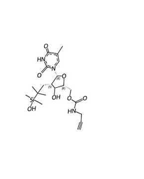 C#CCNC(=O)OC[C@H]1O[C@@H](n2cc(C)c(=O)[nH]c2=O)[C@@H](CC(C)(C)[Si](C)(C)O)C1O